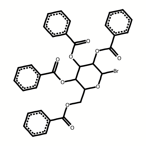 O=C(OCC1OC(Br)C(OC(=O)c2ccccc2)C(OC(=O)c2ccccc2)C1OC(=O)c1ccccc1)c1ccccc1